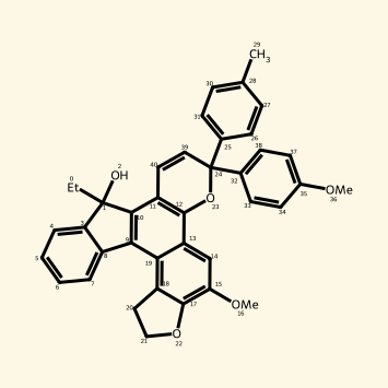 CCC1(O)c2ccccc2-c2c1c1c(c3cc(OC)c4c(c23)CCO4)OC(c2ccc(C)cc2)(c2ccc(OC)cc2)C=C1